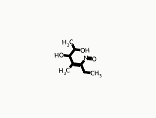 CC/C(N=O)=C(\C)C(O)C(C)O